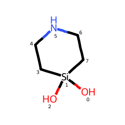 O[Si]1(O)CCNCC1